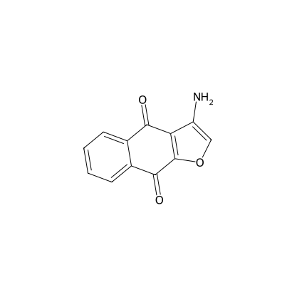 Nc1coc2c1C(=O)c1ccccc1C2=O